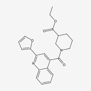 CCOC(=O)C1CCCN(C(=O)c2cc(-c3ccco3)nc3ccccc23)C1